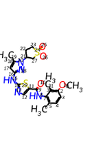 COc1ccc(C)c(NC(=O)c2cnc(Nc3cc(C)n(C4CCS(=O)(=O)C4)n3)s2)c1C